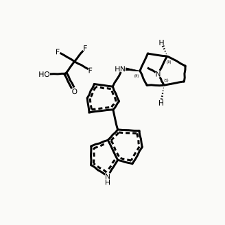 CN1[C@@H]2CC[C@H]1C[C@@H](Nc1cccc(-c3cccc4[nH]ccc34)c1)C2.O=C(O)C(F)(F)F